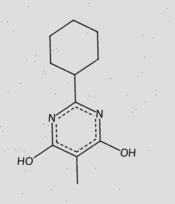 Cc1c(O)nc(C2CCCCC2)nc1O